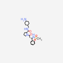 CS(=O)(=O)N[C@@H](CC(=O)N1CCC[C@H]1C(=O)NCC1CCC(N)CC1)c1ccccc1